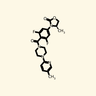 Cc1ccc(N2CCN(C(=O)c3c(F)cc(N4C(=O)OC[C@H]4C)cc3F)CC2)nc1